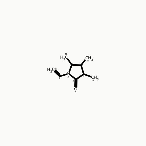 C=CN1C(=O)C(C)C(C)C1C